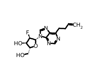 C=CCCc1ncnc2c1ncn2[C@@H]1O[C@H](CO)[C@@H](O)[C@H]1F